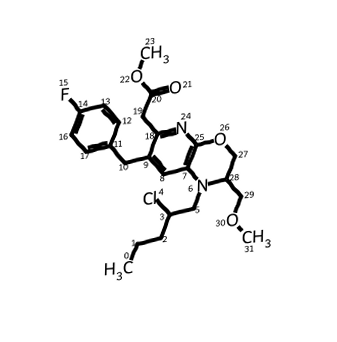 CCCC(Cl)CN1c2cc(Cc3ccc(F)cc3)c(CC(=O)OC)nc2OCC1COC